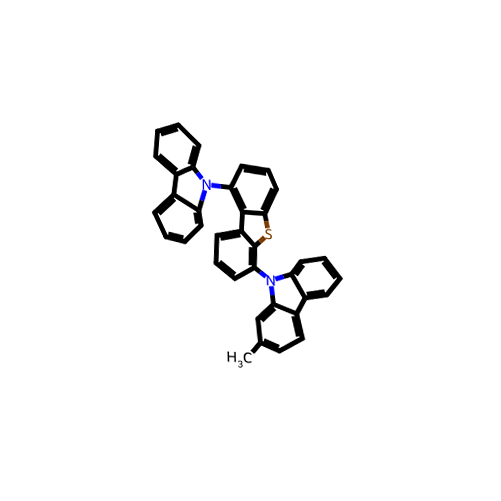 Cc1ccc2c3ccccc3n(-c3cccc4c3sc3cccc(-n5c6ccccc6c6ccccc65)c34)c2c1